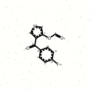 O=COc1cscc1C(=O)c1ccc(F)cc1